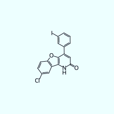 O=c1cc(-c2cccc(I)c2)c2oc3ccc(Cl)cc3c2[nH]1